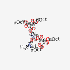 CCCCCCCCOC(=O)CC(CC(=O)OCCCCCCCC)CC(=O)OC[C@H]1C[C@@H](OC(=O)CC(CC(=O)OCCCCCCCC)CC(=O)OCCCCCCCC)CN1C(=O)OCCN(C)C